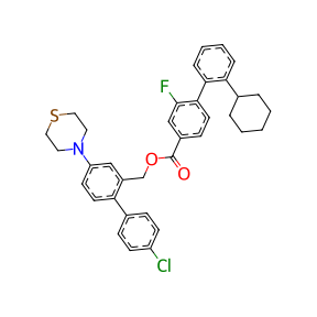 O=C(OCc1cc(N2CCSCC2)ccc1-c1ccc(Cl)cc1)c1ccc(-c2ccccc2C2CCCCC2)c(F)c1